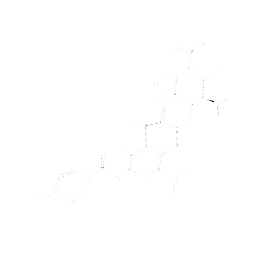 COc1ccc(C(=O)Nc2cc(N(C)C)c3c(c2O)C(=O)C2=C(O)C4(O)C(=O)C(C(N)=O)=C(O)[C@@H](N(C)C)C4CC2C3)cc1